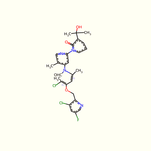 C/C(=C/C(OCc1ncc(F)cc1Cl)=C(\C)Cl)N(C=O)c1cc(-n2cccc(C(C)(C)O)c2=O)ncc1C